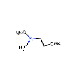 COCCN(C)OC